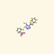 CCn1c(SCc2ccccc2[N+](=O)[O-])nnc1-c1cc2ccccc2s1